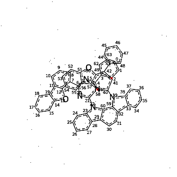 c1ccc(-c2nc(-c3cccc4c3oc3ccccc34)nc(-n3c4ccccc4c4ccc5c6ccccc6n(-c6cc(-c7ccccc7)c7oc8ccccc8c7c6)c5c43)n2)cc1